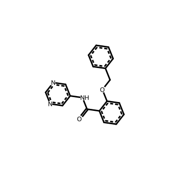 O=C(Nc1cncnc1)c1ccccc1OCc1ccccc1